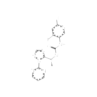 C[C@H](NC(=O)Nc1cnc(Cl)cc1I)c1ncnn1-c1ncccn1